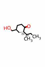 CC[C@H](C)[C@@H]1CC(CO)CCC1=O